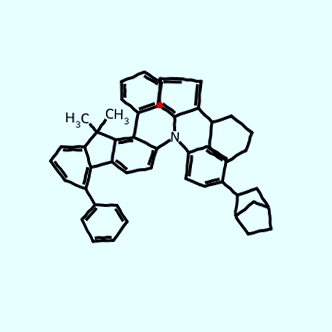 CC1(C)c2cccc(-c3ccccc3)c2-c2ccc(N(c3ccc(C4CC5CCC4C5)cc3)c3ccccc3C3CCCCC3)c(-c3ccccc3)c21